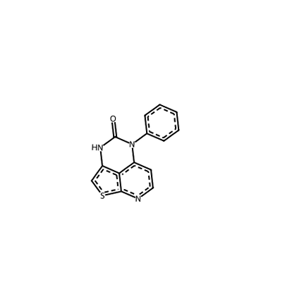 O=C1Nc2csc3nccc(c23)N1c1ccccc1